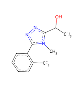 CC(O)c1nnc(-c2ccccc2C(F)(F)F)n1C